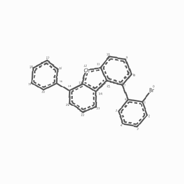 Brc1ccccc1-c1cccc2oc3c(-c4ccccc4)cccc3c12